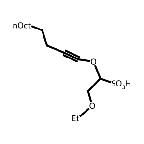 CCCCCCCCCCC#COC(COCC)S(=O)(=O)O